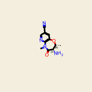 C[C@H]1Oc2cc(C#N)cnc2N(C)C(=O)[C@H]1N